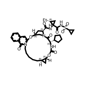 CC[C@@H]1C[C@]1(NC(=O)[C@@H]1C[C@@H]2CN1C(=O)[C@H](C1CCCC1)NC(=O)O[C@@H]1C[C@H]1CCCCCn1c(cc3ccccc3c1=O)O2)C(=O)NS(=O)(=O)C1CC1